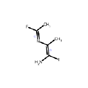 C/C(F)=N\C(C)=C(/N)I